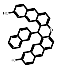 Oc1ccc2cc3ccc4c(c3cc2c1)C(c1ccc2ccccc2c1)c1c(ccc2cc3ccc(O)cc3cc12)O4